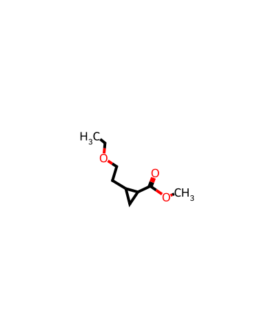 CCOCCC1CC1C(=O)OC